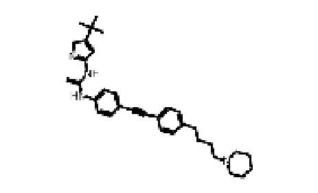 C=C(NC1=NCC(C(C)(C)C)=C1)Nc1ccc(C#Cc2ccc(CCCCN3CCCCC3)cc2)cc1